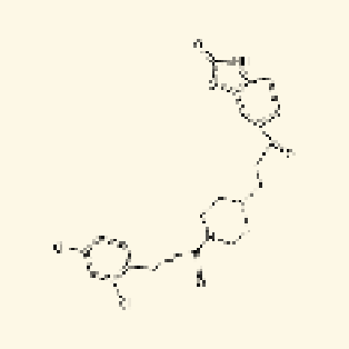 O=C(CCN1CCN(C(=O)OCc2ccc(Cl)cc2Cl)CC1)c1ccc2[nH]c(=O)oc2c1